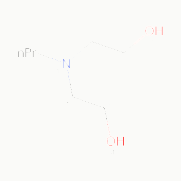 [CH2]CCN(CCO)CCO